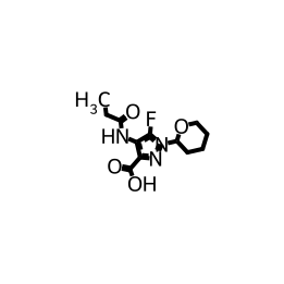 CCC(=O)Nc1c(C(=O)O)nn(C2CCCCO2)c1F